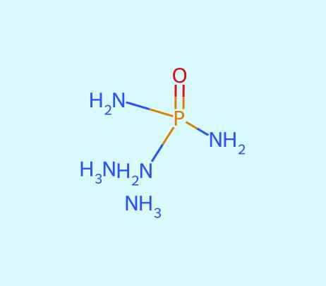 N.N.NP(N)(N)=O